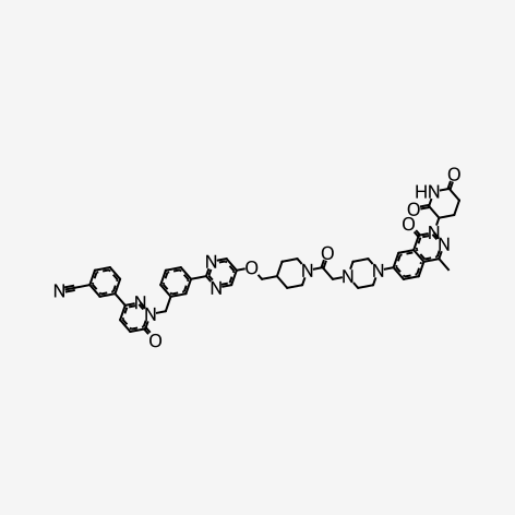 Cc1nn(C2CCC(=O)NC2=O)c(=O)c2cc(N3CCN(CC(=O)N4CCC(COc5cnc(-c6cccc(Cn7nc(-c8cccc(C#N)c8)ccc7=O)c6)nc5)CC4)CC3)ccc12